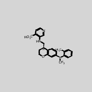 Cc1ccccc1N(C)c1ccc2c(c1)OCC[C@H]2CNc1cnccc1C(=O)O